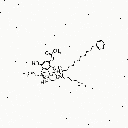 C=CCN1CC[C@]23c4c5c(O)cc(OC(C)=O)c4O[C@H]2[C@@H](N(CCCCC)C(=O)CCCCCCCCCCc2ccccc2)CC[C@H]3[C@H]1C5